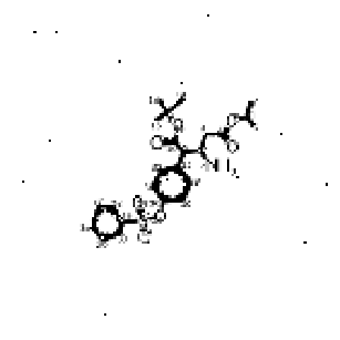 CC(C)OC(=O)CC(N)C(C(=O)OC(C)(C)C)c1ccc(OS(=O)(=O)c2ccccc2)cc1